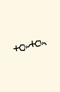 CCN1CCC(C(C)(C)CCN2CCC(C(C)(C)C)CC2)CC1